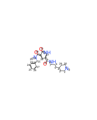 CN1CCC(CCCNC(=O)c2c[nH]c(=O)c(C(=O)N(C)Cc3ccccc3)c2)CC1